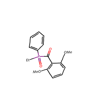 CCP(=O)(C(=O)c1c(OC)cccc1OC)c1ccccc1